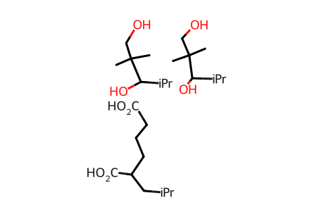 CC(C)C(O)C(C)(C)CO.CC(C)C(O)C(C)(C)CO.CC(C)CC(CCCC(=O)O)C(=O)O